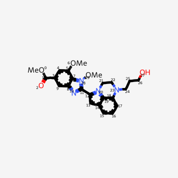 COC(=O)c1cc(OC)c2c(c1)nc(-c1cc3cccc4c3n1CCN4CCCO)n2OC